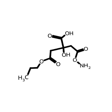 CCCOC(=O)CC(O)(CC(=O)ON)C(=O)O